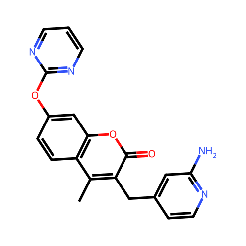 Cc1c(Cc2ccnc(N)c2)c(=O)oc2cc(Oc3ncccn3)ccc12